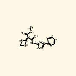 CC(C)OC(=O)C(C(=O)Nc1nc(-c2ccccc2)cs1)=C1SCS1